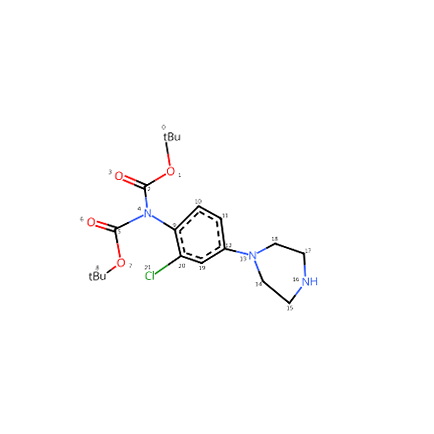 CC(C)(C)OC(=O)N(C(=O)OC(C)(C)C)c1ccc(N2CCNCC2)cc1Cl